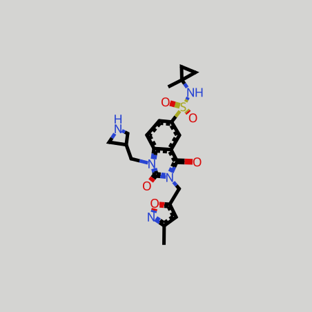 Cc1cc(Cn2c(=O)c3cc(S(=O)(=O)NC4(C)CC4)ccc3n(CC3CNC3)c2=O)on1